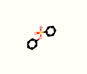 O=P(Br)(Oc1ccccc1)c1ccccc1